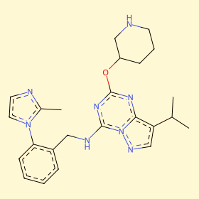 Cc1nccn1-c1ccccc1CNc1nc(OC2CCCNC2)nc2c(C(C)C)cnn12